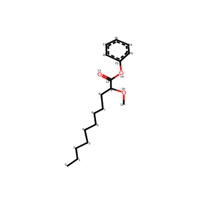 CCCCCCCCCC(OC)C(=O)Oc1ccccc1